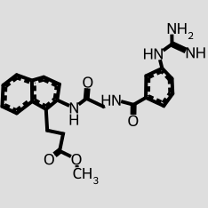 COC(=O)CCc1c(NC(=O)CNC(=O)c2cccc(NC(=N)N)c2)ccc2ccccc12